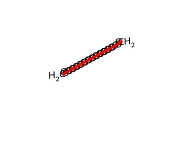 C=CC(=O)OCCOCCOOCCOOCCOOCCOOCCOOCCOOCCOOCCOOCCOOCCOOCCOOCCOOCCOC(=O)C=C